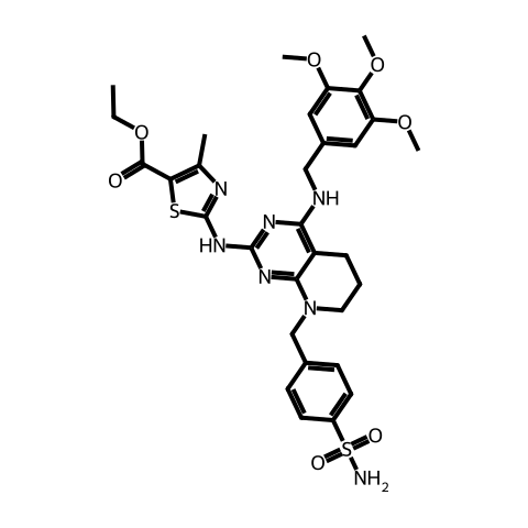 CCOC(=O)c1sc(Nc2nc(NCc3cc(OC)c(OC)c(OC)c3)c3c(n2)N(Cc2ccc(S(N)(=O)=O)cc2)CCC3)nc1C